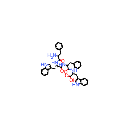 N[C@@H](Cc1ccccc1)C(=O)N[C@@H](Cc1c[nH]c2ccccc12)C(=O)N[C@@H](Cc1ccccc1)C(=O)N[C@@H](Cc1c[nH]c2ccccc12)C(=O)O